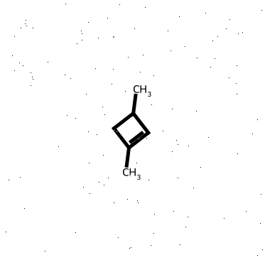 C[C]1C=C(C)C1